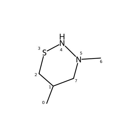 CC1CSNN(C)C1